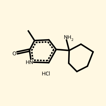 Cc1cc(C2(N)CCCCC2)c[nH]c1=O.Cl